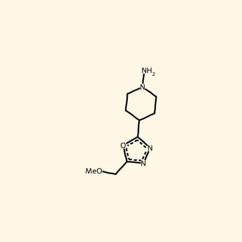 COCc1nnc(C2CCN(N)CC2)o1